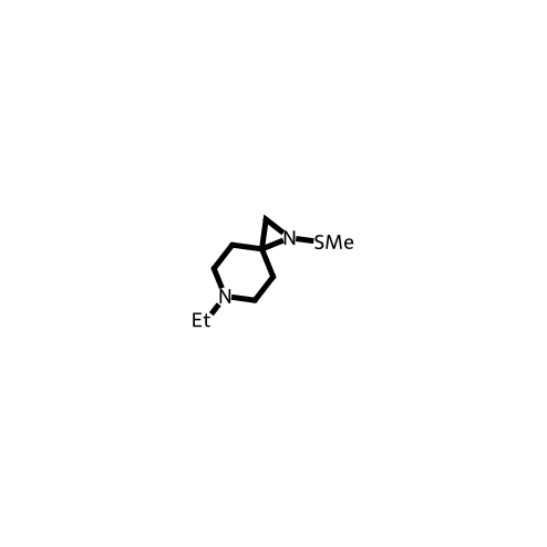 CCN1CCC2(CC1)CN2SC